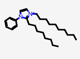 CCCCCCCCCC[n+]1ccn(-c2ccccc2)c1CCCCCCCC